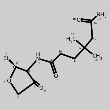 CC[C@@H]1OCC(=O)C1NC(=O)[CH]CC(C)(C)CC(N)=O